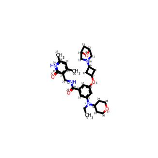 CCN(c1cc(OC2CC(N3CC4CC(C3)O4)C2)cc(C(=O)NCc2c(C)cc(C)[nH]c2=O)c1)C1CCOCC1